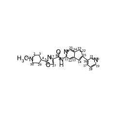 CN1CCC(c2nc(C(=O)Nc3cc4cc(-c5cccnc5)ccc4cn3)co2)CC1